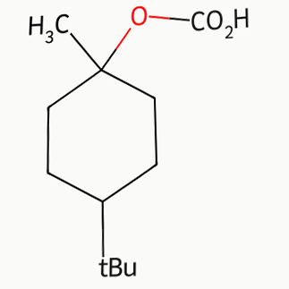 CC1(OC(=O)O)CCC(C(C)(C)C)CC1